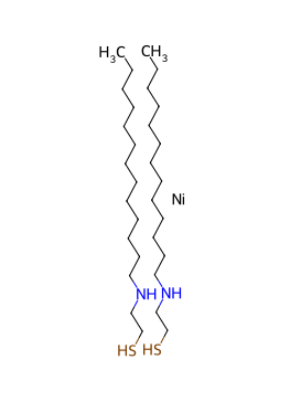 CCCCCCCCCCCCCNCCS.CCCCCCCCCCCCCNCCS.[Ni]